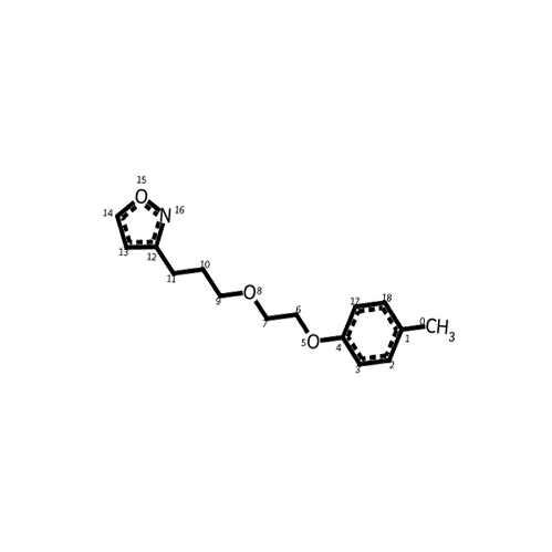 Cc1ccc(OCCOCCCc2ccon2)cc1